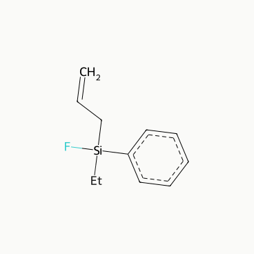 C=CC[Si](F)(CC)c1ccccc1